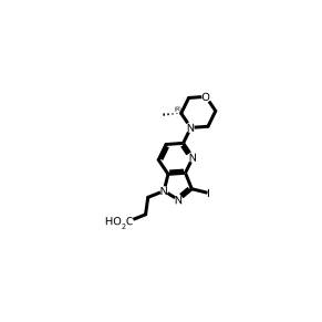 C[C@@H]1COCCN1c1ccc2c(n1)c(I)nn2CCC(=O)O